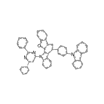 c1ccc(-c2cc(-n3c4ccccc4c4c(-c5ccc(-n6c7ccccc7c7ccccc76)cc5)cc5c6ccccc6oc5c43)nc(-c3ccccc3)n2)cc1